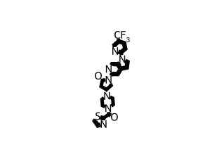 O=C(c1nccs1)N1CCN([C@@H]2CC(=O)N(c3cc4ccn(-c5ccc(C(F)(F)F)cn5)c4cn3)C2)CC1